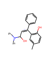 Cc1ccc(O)c(/C(=C\C(O)N(C(C)C)C(C)C)c2ccccc2)c1